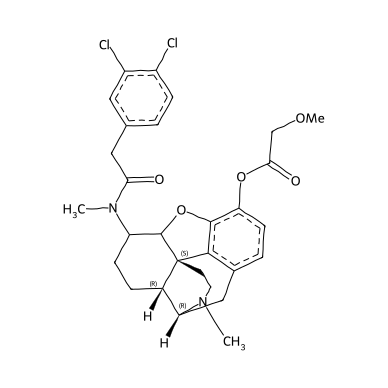 COCC(=O)Oc1ccc2c3c1OC1C(N(C)C(=O)Cc4ccc(Cl)c(Cl)c4)CC[C@H]4[C@@H](C2)N(C)CC[C@]314